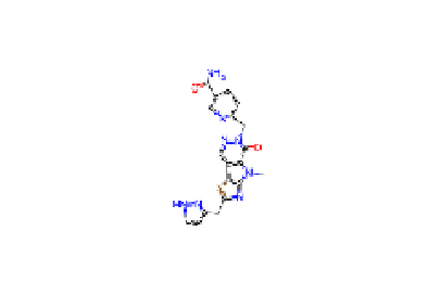 Cn1c2nc(Cc3cc[nH]n3)sc2c2cnn(Cc3ccc(C(N)=O)cn3)c(=O)c21